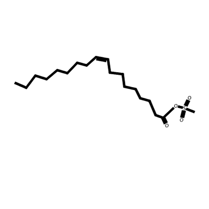 CCCCCCCC/C=C\CCCCCCCC(=O)OS(C)(=O)=O